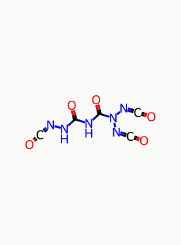 O=C=NNC(=O)NC(=O)N(N=C=O)N=C=O